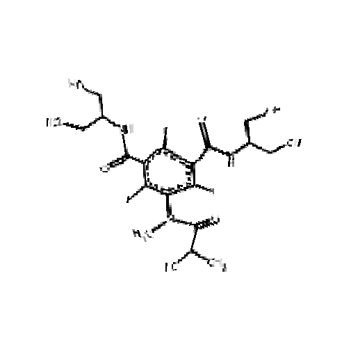 CC(O)C(=O)N(C)c1c(I)c(C(=O)NC(CO)CO)c(I)c(C(=O)NC(CO)CO)c1I